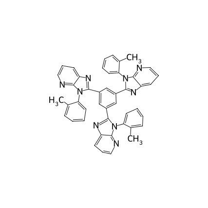 Cc1ccccc1-n1c(-c2cc(-c3nc4cccnc4n3-c3ccccc3C)cc(-c3nc4cccnc4n3-c3ccccc3C)c2)nc2cccnc21